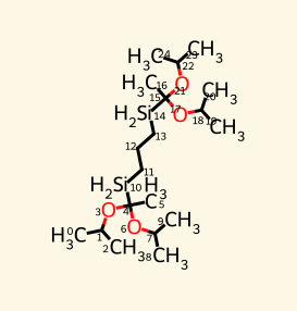 CC(C)OC(C)(OC(C)C)[SiH2]CCC[SiH2]C(C)(OC(C)C)OC(C)C